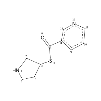 O=C(SC1CCNC1)c1cccnc1